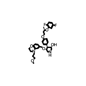 COCCCN1CCOc2ccc(CO[C@H]3CNC[C@@H](O)[C@@H]3c3ccc(OCC[C@@H](C)Oc4cc(F)ccc4F)cc3)cc21